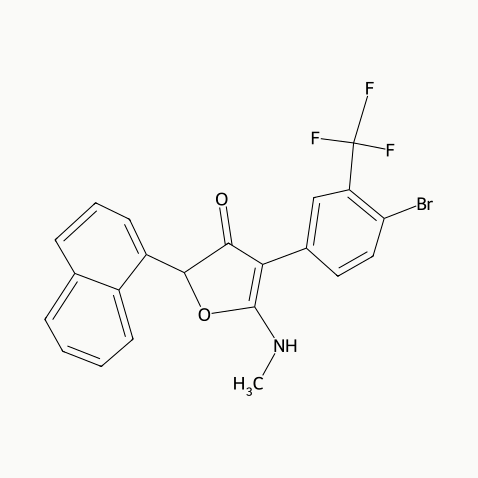 CNC1=C(c2ccc(Br)c(C(F)(F)F)c2)C(=O)C(c2cccc3ccccc23)O1